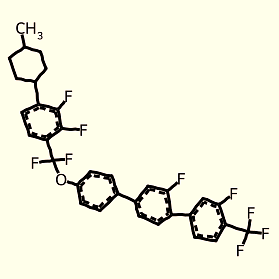 CC1CCC(c2ccc(C(F)(F)Oc3ccc(-c4ccc(-c5ccc(C(F)(F)F)c(F)c5)c(F)c4)cc3)c(F)c2F)CC1